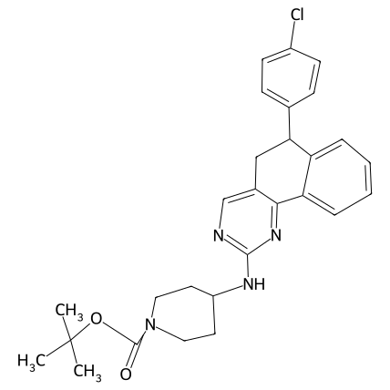 CC(C)(C)OC(=O)N1CCC(Nc2ncc3c(n2)-c2ccccc2C(c2ccc(Cl)cc2)C3)CC1